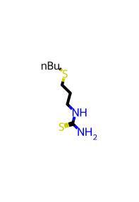 CCCCSCCCNC(N)=S